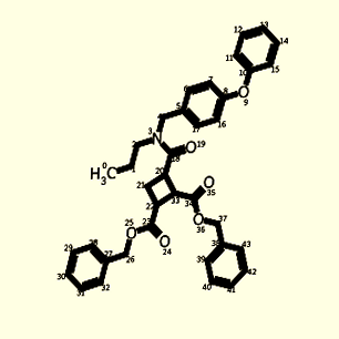 CCCN(Cc1ccc(Oc2ccccc2)cc1)C(=O)C1CC(C(=O)OCc2ccccc2)C1C(=O)OCc1ccccc1